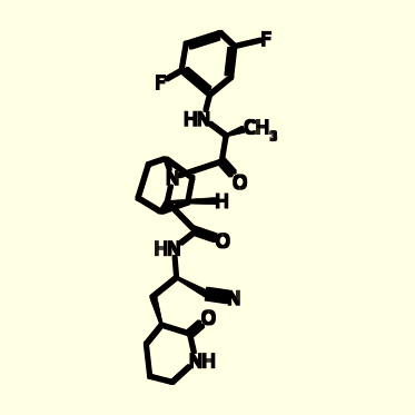 C[C@H](Nc1cc(F)ccc1F)C(=O)N1C2CCC(CC2)[C@H]1C(=O)N[C@@H](C#N)C[C@@H]1CCCNC1=O